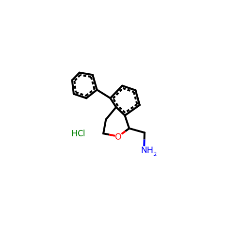 Cl.NCC1OCCc2c(-c3ccccc3)cccc21